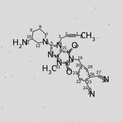 CC#CCn1c(N2CCCC(N)C2)nc2c1c(=O)n(Cc1ccc(C#N)c(C#N)c1)c(=O)n2C